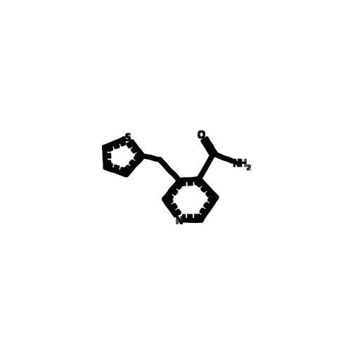 NC(=O)c1ccncc1Cc1cccs1